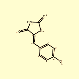 O=C1NC(=O)C(=Cc2ccc(Cl)cc2)S1